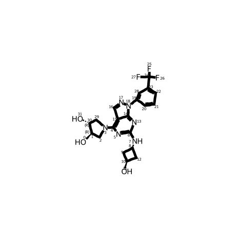 O[C@@H]1CN(c2nc(N[C@H]3C[C@H](O)C3)nc3c2cnn3-c2cccc(C(F)(F)F)c2)C[C@H]1O